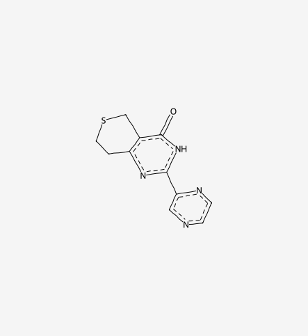 O=c1[nH]c(-c2cnccn2)nc2c1CSCC2